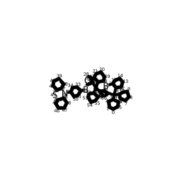 c1ccc(C2(c3ccccc3)c3ccccc3B3c4ccccc4C4(c5ccccc5B(c5ccc(N6c7ccccc7Sc7ccccc76)cc5)c5ccccc54)c4cccc2c43)cc1